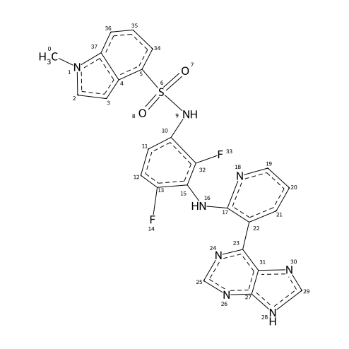 Cn1ccc2c(S(=O)(=O)Nc3ccc(F)c(Nc4ncccc4-c4ncnc5[nH]cnc45)c3F)cccc21